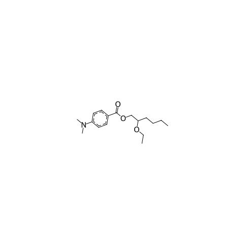 CCCCC(COC(=O)c1ccc(N(C)C)cc1)OCC